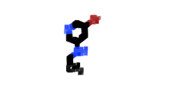 C=CNc1cncc(Br)c1